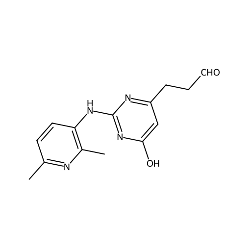 Cc1ccc(Nc2nc(O)cc(CCC=O)n2)c(C)n1